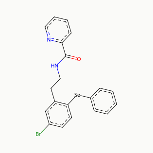 O=C(NCCc1cc(Br)ccc1[Se]c1ccccc1)c1ccccn1